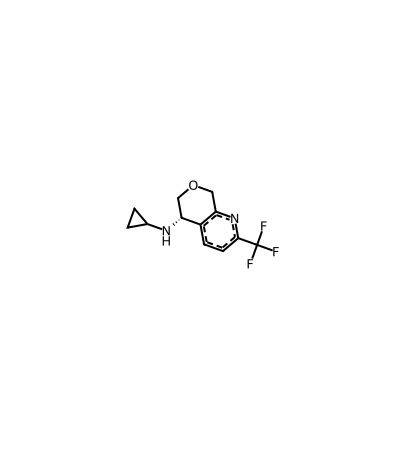 FC(F)(F)c1ccc2c(n1)COC[C@H]2NC1CC1